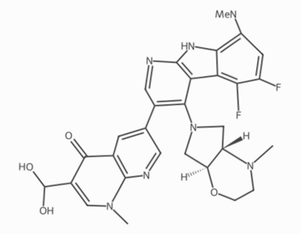 CNc1cc(F)c(F)c2c1[nH]c1ncc(-c3cnc4c(c3)c(=O)c(C(O)O)cn4C)c(N3C[C@@H]4OCCN(C)[C@H]4C3)c12